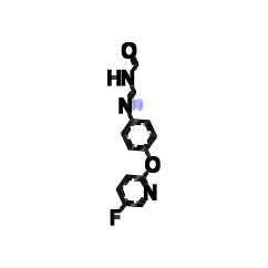 O=CN/C=N/c1ccc(Oc2ccc(F)cn2)cc1